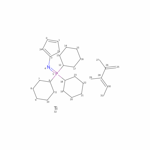 C1=CCC(N=P(C2CCCCC2)(C2CCCCC2)C2CCCCC2)=C1.C=C(C)C(C)=CC.[Ti]